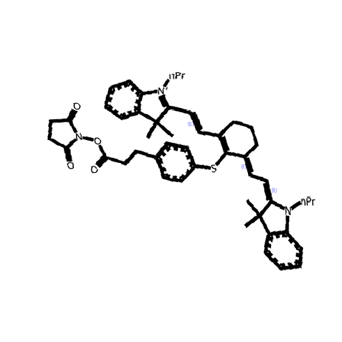 CCCN1/C(=C/C=C2\CCCC(/C=C/C3=[N+](CCC)c4ccccc4C3(C)C)=C2Sc2ccc(CCC(=O)ON3C(=O)CCC3=O)cc2)C(C)(C)c2ccccc21